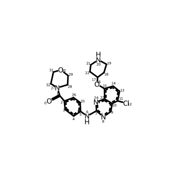 O=C(c1ccc(Nc2ncc3c(Cl)ccc(OC4CCNCC4)c3n2)cc1)N1CCOCC1